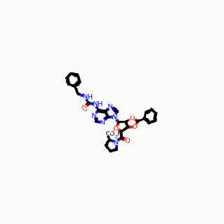 O=C(NCc1ccccc1)Nc1ncnc2c1ncn2C1OC(C(=O)N2CCCC2C(=O)O)C2OC(c3ccccc3)OC21